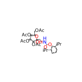 CC(=O)OC[C@H]1O[C@](O)(CCNC(=O)Oc2c(C(C)C)cccc2C(C)C)[C@H](OC(C)=O)[C@@H](OC(C)=O)[C@@H]1OC(C)=O